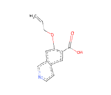 C=CCOc1cc2cnccc2cc1C(=O)O